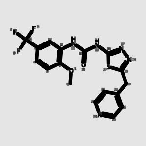 COc1ccc(C(F)(F)F)cc1NC(=O)Nc1nnc(Cc2ccncc2)s1